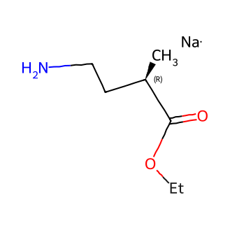 CCOC(=O)[C@H](C)CCN.[Na]